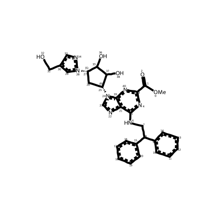 COC(=O)c1nc(NCC(c2ccccc2)c2ccccc2)c2ncn([C@@H]3C[C@H](n4cc(CO)cn4)C(O)C3O)c2n1